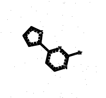 Brc1nccc(-c2cccs2)n1